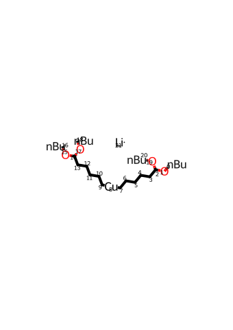 CCCCOC(CCCC[CH2][Cu][CH2]CCCCC(OCCCC)OCCCC)OCCCC.[Li]